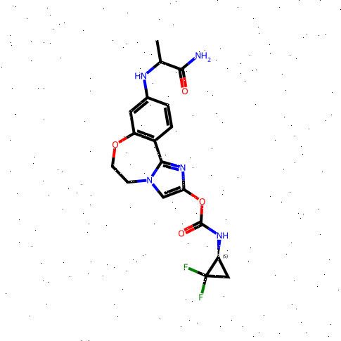 CC(Nc1ccc2c(c1)OCCn1cc(OC(=O)N[C@H]3CC3(F)F)nc1-2)C(N)=O